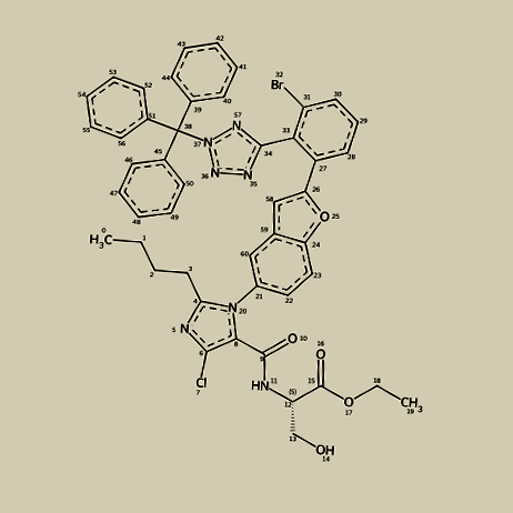 CCCCc1nc(Cl)c(C(=O)N[C@@H](CO)C(=O)OCC)n1-c1ccc2oc(-c3cccc(Br)c3-c3nnn(C(c4ccccc4)(c4ccccc4)c4ccccc4)n3)cc2c1